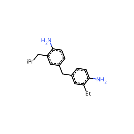 CCc1cc(Cc2ccc(N)c(CC(C)C)c2)ccc1N